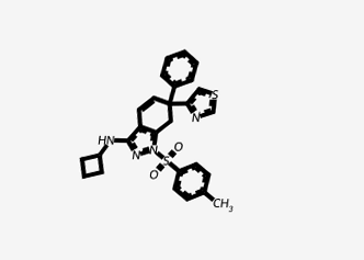 Cc1ccc(S(=O)(=O)n2nc(NC3CCC3)c3c2CC(c2ccccc2)(c2cscn2)C=C3)cc1